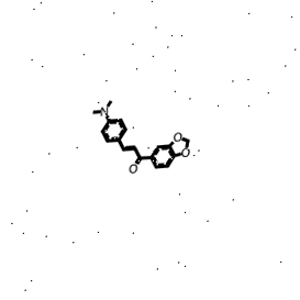 CN(C)c1ccc(/C=C/C(=O)c2ccc3c(c2)OCO3)cc1